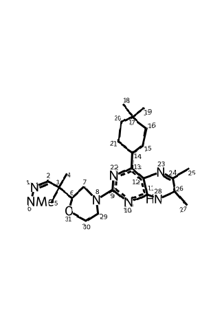 CN/N=C\C(C)(C)C1CN(c2nc3c(c(C4CCC(C)(C)CC4)n2)N=C(C)C(C)N3)CCO1